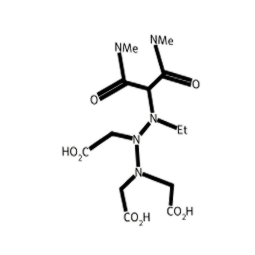 CCN(C(C(=O)NC)C(=O)NC)N(CC(=O)O)N(CC(=O)O)CC(=O)O